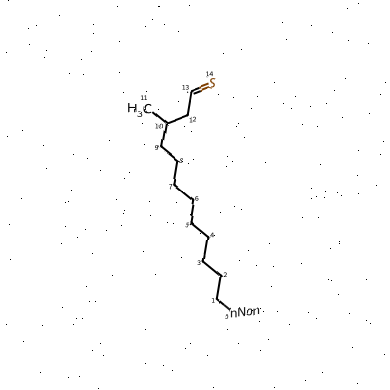 CCCCCCCCCCCCCCCCCCC(C)C[C]=S